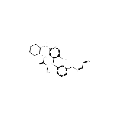 CC(C)(C)OC(=O)N[C@H]1CCCC[C@H]1Nc1cc(Nc2cccc(N/N=C\C=N)c2)c(C#N)cn1